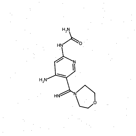 N=C(c1cnc(NC(N)=O)cc1N)N1CCOCC1